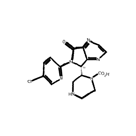 O=C(O)N1CCNCC1[C@H]1c2nccnc2C(=O)N1c1ccc(Cl)cn1